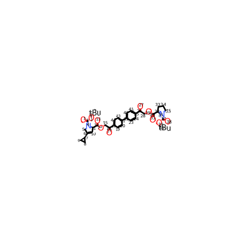 CC(C)(C)OC(=O)N1CC(C2CC2)=CC1C(=O)OCC(=O)c1ccc(-c2ccc(C(=O)COC(=O)C3CCCN3C(=O)OC(C)(C)C)cc2)cc1